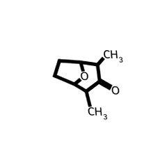 CC1C(=O)C(C)C2CCC1O2